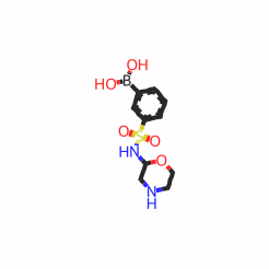 O=S(=O)(NC1CNCCO1)c1cccc(B(O)O)c1